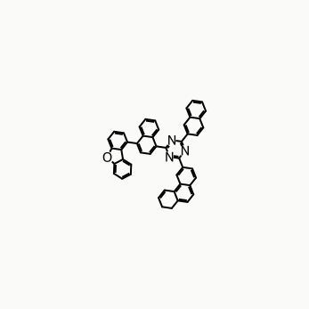 C1=Cc2c(ccc3ccc(-c4nc(-c5ccc6ccccc6c5)nc(-c5ccc(-c6cccc7oc8ccccc8c67)c6ccccc56)n4)cc23)CC1